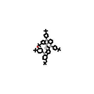 CC1=CC=C(n2c3ccc(CC(C)(C)C)cc3c3ccc4c5c(oc4c32)B2c3cc(C(C)(C)C)ccc3N(c3ccc(C(C)(C)C)cc3)c3cccc(c32)N5c2ccc(C(C)(C)C)cc2)C=CC1C(C)(C)C